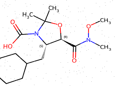 CON(C)C(=O)[C@@H]1OC(C)(C)N(C(=O)O)[C@H]1CC1CCCCC1